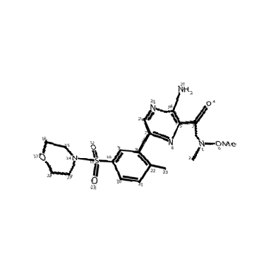 CON(C)C(=O)c1nc(-c2cc(S(=O)(=O)N3CCOCC3)ccc2C)cnc1N